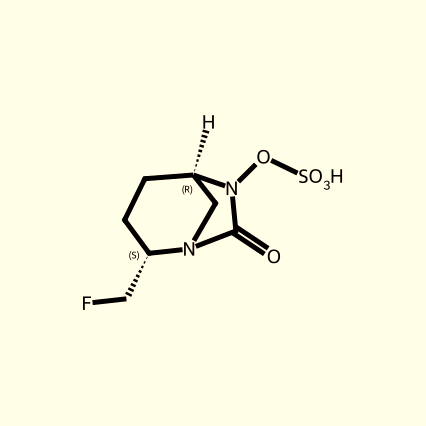 O=C1N2C[C@@H](CC[C@H]2CF)N1OS(=O)(=O)O